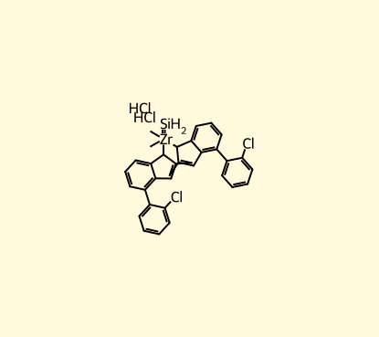 CC1=Cc2c(-c3ccccc3Cl)cccc2[CH]1[Zr]([CH3])([CH3])(=[SiH2])[CH]1C(C)=Cc2c(-c3ccccc3Cl)cccc21.Cl.Cl